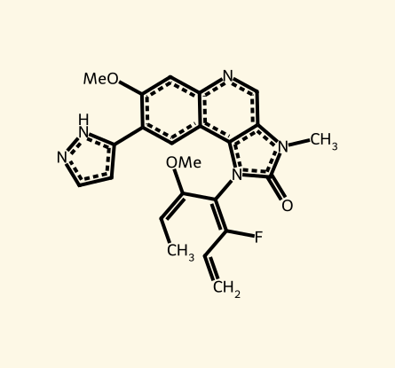 C=C/C(F)=C(\C(=C/C)OC)n1c(=O)n(C)c2cnc3cc(OC)c(-c4ccn[nH]4)cc3c21